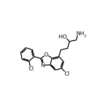 NCC(O)CCc1cc(Cl)cc2nc(-c3ccccc3Cl)oc12